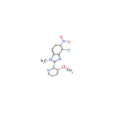 COc1cccnc1-c1nc2c(Cl)c([N+](=O)[O-])ccc2n1C